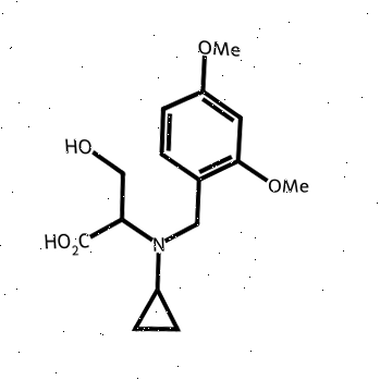 COc1ccc(CN(C2CC2)C(CO)C(=O)O)c(OC)c1